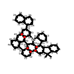 CC1(C)c2ccccc2-c2c(-c3ccccc3N(c3cccc(-c4cccc5ccccc45)c3)c3ccccc3-c3cccc4cccc(-c5ccccc5)c34)cccc21